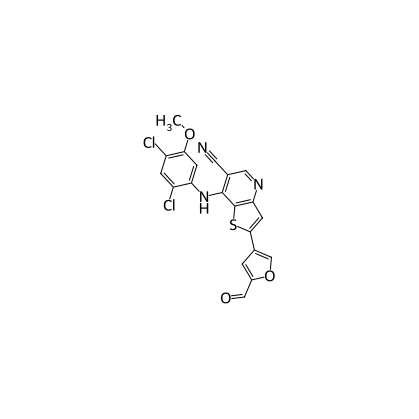 COc1cc(Nc2c(C#N)cnc3cc(-c4coc(C=O)c4)sc23)c(Cl)cc1Cl